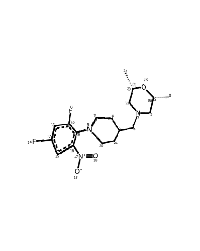 C[C@@H]1CN(CC2CCN(c3c(F)cc(F)cc3[N+](=O)[O-])CC2)C[C@H](C)O1